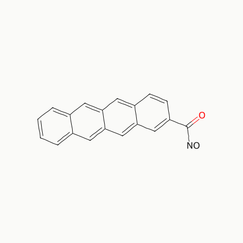 O=NC(=O)c1ccc2cc3cc4ccccc4cc3cc2c1